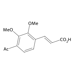 COc1c(C=CC(=O)O)ccc(C(C)=O)c1OC